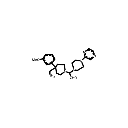 COc1cccc(C2(CN)CCN(C(C=O)N3CCN(c4cnccn4)CC3)CC2)c1